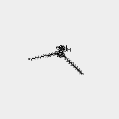 CCCCCCCCCCCCCCCCCCOC(=O)c1cc(C(=O)O)c(C(=O)O)cc1C(=O)OCCCCCCCCCCCCCCCCCC